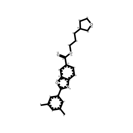 Cc1cc(C)cc(-c2nc3ccc(C(=O)OCCCC4CCOC4)cc3o2)c1